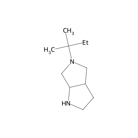 CCC(C)(C)N1CC2CCNC2C1